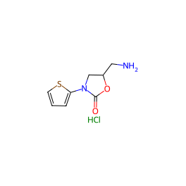 Cl.NCC1CN(c2cccs2)C(=O)O1